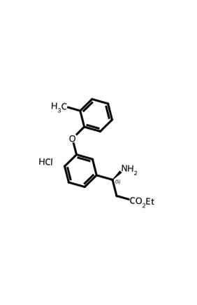 CCOC(=O)C[C@H](N)c1cccc(Oc2ccccc2C)c1.Cl